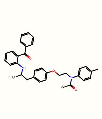 Cc1ccc(N(CCOc2ccc(CC(Nc3ccccc3C(=O)c3ccccc3)C(=O)O)cc2)C(=O)C(C)C)cc1